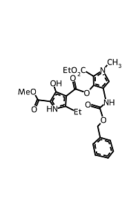 CCOC(=O)c1c(OC(=O)c2c(CC)[nH]c(C(=O)OC)c2O)c(NC(=O)OCc2ccccc2)cn1C